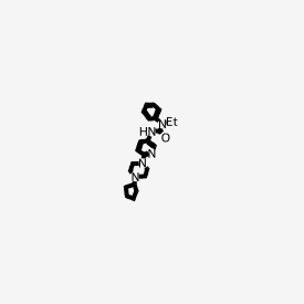 CCN(C(=O)Nc1ccc(N2CCN(C3CCCC3)CC2)nc1)c1ccccc1